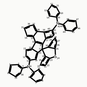 c1ccc(N(c2ccccc2)c2ccc3c(c2)C2(c4ccccc4Sc4ccccc42)c2c-3c3ccccc3c3cc(N(c4ccccc4)c4ccccc4)ccc23)cc1